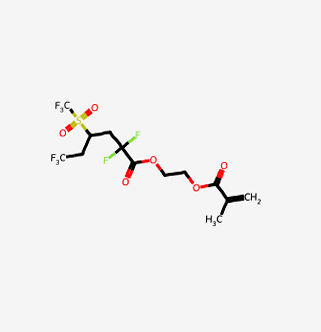 C=C(C)C(=O)OCCOC(=O)C(F)(F)CC(CC(F)(F)F)S(=O)(=O)C(F)(F)F